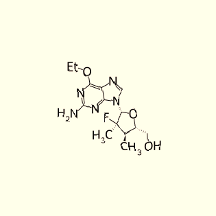 CCOc1nc(N)nc2c1ncn2[C@@H]1O[C@H](CO)[C@@H](C)[C@@]1(C)F